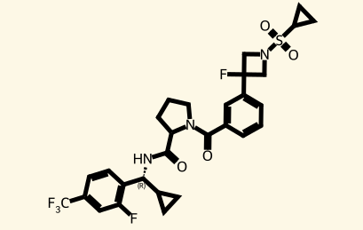 O=C(N[C@@H](c1ccc(C(F)(F)F)cc1F)C1CC1)C1CCCN1C(=O)c1cccc(C2(F)CN(S(=O)(=O)C3CC3)C2)c1